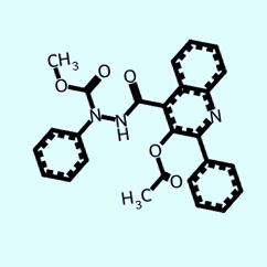 COC(=O)N(NC(=O)c1c(OC(C)=O)c(-c2ccccc2)nc2ccccc12)c1ccccc1